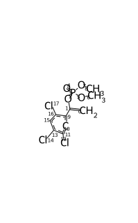 C=C(OP(=O)(OC)OC)c1cc(Cl)c(Cl)cc1Cl